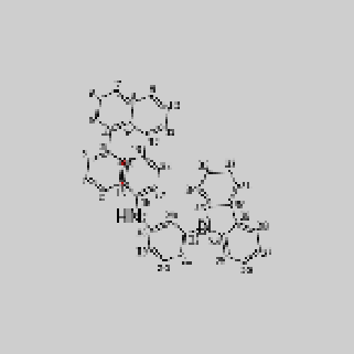 c1ccc(-c2cccc3cccc(-c4ccc(Nc5cccc(-n6c7ccccc7c7ccccc76)c5)cc4)c23)cc1